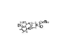 CC(C)(C)OC(=O)N1CCC2(CC1)CC(O)c1c(Br)cccc1O2